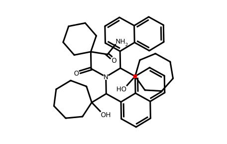 NC(=O)C1(C(=O)N(C(c2cccc3ccccc23)C2(O)CCCCCC2)C(c2cccc3ccccc23)C2(O)CCCCCC2)CCCCC1